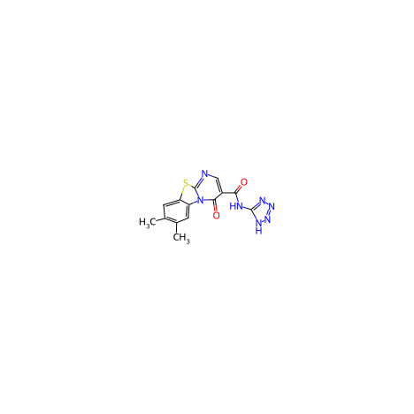 Cc1cc2sc3ncc(C(=O)Nc4nnn[nH]4)c(=O)n3c2cc1C